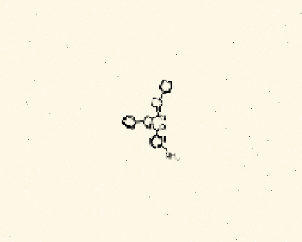 NCc1cccc(C(=O)N2CC(c3ccccc3)CC2C(=O)N2CCC(c3ccccc3)C2)n1